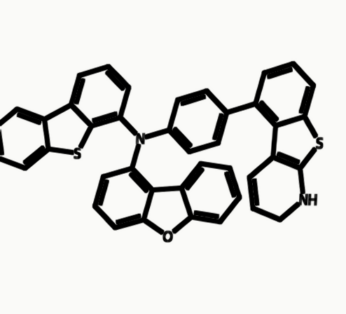 C1=Cc2c(sc3cccc(-c4ccc(N(c5cccc6c5sc5ccccc56)c5cccc6oc7ccccc7c56)cc4)c23)NC1